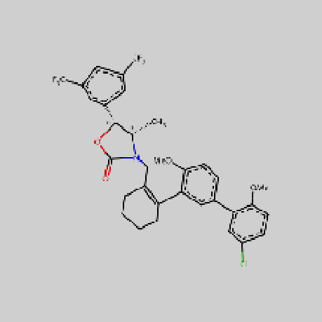 COc1ccc(-c2cc(Cl)ccc2OC)cc1C1=C(CN2C(=O)O[C@H](c3cc(C(F)(F)F)cc(C(F)(F)F)c3)[C@@H]2C)CCCC1